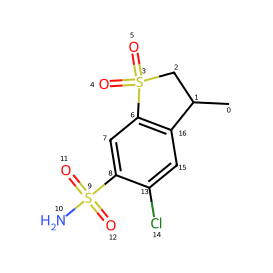 CC1CS(=O)(=O)c2cc(S(N)(=O)=O)c(Cl)cc21